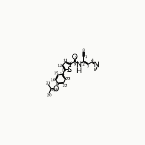 C#C/C(=C\C=N/C)NC(=O)c1ccc(-c2ccc(OC(C)C)cc2)s1